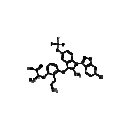 C=CCc1c(Oc2c(C)n(-c3noc4cc(Cl)ccc34)c3ccc(OC(F)(F)F)cc23)cccc1O[C@@H](C)C(=O)O